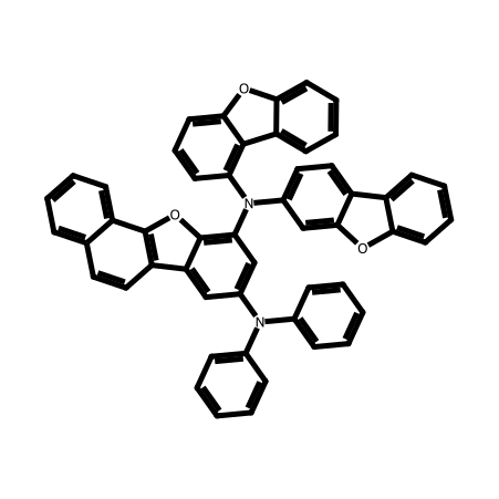 c1ccc(N(c2ccccc2)c2cc(N(c3ccc4c(c3)oc3ccccc34)c3cccc4oc5ccccc5c34)c3oc4c5ccccc5ccc4c3c2)cc1